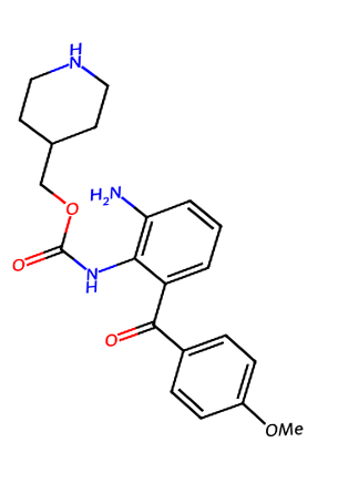 COc1ccc(C(=O)c2cccc(N)c2NC(=O)OCC2CCNCC2)cc1